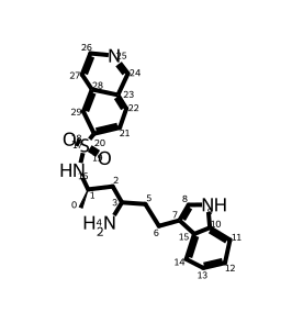 C[C@H](CC(N)CCc1c[nH]c2ccccc12)NS(=O)(=O)c1ccc2cnccc2c1